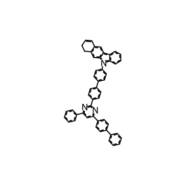 C1=Cc2cc3c4ccccc4n(-c4ccc(-c5ccc(-c6nc(-c7ccccc7)cc(-c7ccc(-c8ccccc8)cc7)n6)cc5)cc4)c3cc2CC1